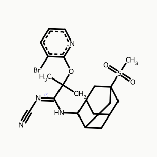 CC(C)(Oc1ncccc1Br)/C(=N/C#N)NC1C2CC3CC1CC(S(C)(=O)=O)(C3)C2